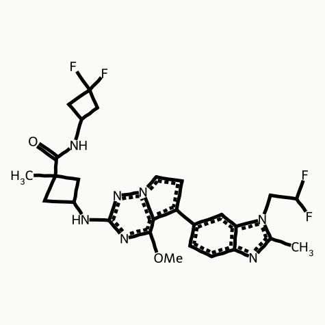 COc1nc(NC2CC(C)(C(=O)NC3CC(F)(F)C3)C2)nn2ccc(-c3ccc4nc(C)n(CC(F)F)c4c3)c12